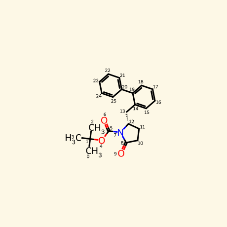 CC(C)(C)OC(=O)N1C(=O)CC[C@H]1Cc1ccccc1-c1ccccc1